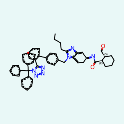 CCCCc1nc2c(n1Cc1ccc(-c3ccccc3-c3nnnn3C(c3ccccc3)(c3ccccc3)c3ccccc3)cc1)=CCC(=NC(=O)[C@@H]1CCCC[C@@H]1C=O)C=2